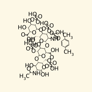 CC(=O)N[C@@H]1[C@@H](O)[C@H](O[C@@H]2O[C@H](C(=O)O)[C@@H](O[C@@H]3O[C@H](CO)[C@@H](O[C@H]4O[C@@H](C(=O)O)[C@H](O)[C@@H](O)[C@@H]4OS(=O)(=O)O)[C@H](OS(=O)(=O)O)[C@H]3NS(=O)(=O)O)[C@H](O)[C@H]2OS(=O)(=O)O)[C@H](COS(=O)(=O)O)O[C@H]1O.Cc1ccc(C)cc1